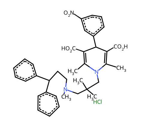 CC1=C(C(=O)O)C(c2cccc([N+](=O)[O-])c2)C(C(=O)O)=C(C)N1CC(C)(C)CN(C)CCC(c1ccccc1)c1ccccc1.Cl